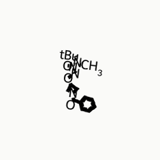 CN(/[N+]([O-])=N/OC1CN(C(=O)c2ccccc2)C1)C(C)(C)C